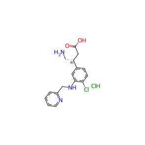 Cl.NC[C@H](CC(=O)O)c1ccc(Cl)c(NCc2ccccn2)c1